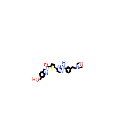 O=C(NCC1CCC(CO)CC1)c1ccc(-c2ccnc(Nc3cccc(CCN4CCOCC4)c3)n2)s1